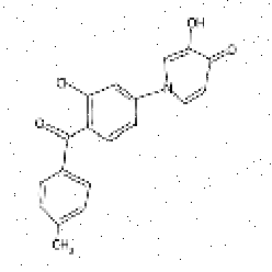 Cc1ccc(C(=O)c2ccc(-n3ccc(=O)c(O)c3)cc2Cl)cc1